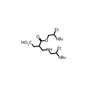 CCCCC(CC)CNCC(CC(=O)O)C(=O)OCC(CC)CCCC